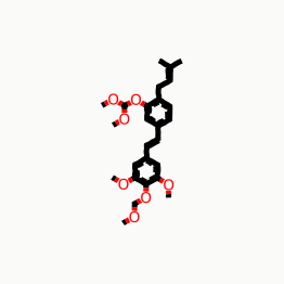 COCOc1c(OC)cc(C=Cc2ccc(CC=C(C)C)c(OC(OC)OC)c2)cc1OC